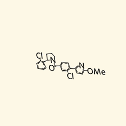 COc1ccc(-c2ccc(C(=O)N3CCC[C@@H]3c3ccccc3Cl)cc2Cl)cn1